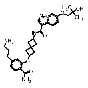 CC(C)(O)COc1ccc2c(C(=O)NC3CC4(C3)CC(Oc3cc(CCCN)ccc3C(N)=O)C4)cnn2c1